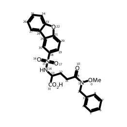 CON(Cc1ccccc1)C(=O)CCC(NS(=O)(=O)c1ccc2oc3ccccc3c2c1)C(=O)O